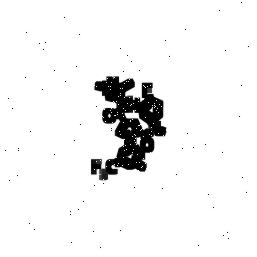 Cc1cc(C(F)(F)F)cc(N2C[C@@H](C(=O)Nc3cn(C)nc3C)C[C@H]2C(=O)N(C)c2ccc(F)c(Cl)c2)n1